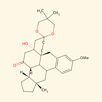 COc1ccc2c(c1)C[C@]13CCC4(C[C@]1(O)CC(=O)[C@@H]1C3C2C[C@]2(C)CCC[C@H]12)OCC(C)(C)CO4